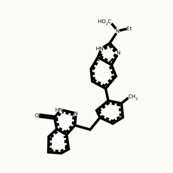 CCN(C(=O)O)c1nc2cc(-c3cc(Cc4n[nH]c(=O)c5ccccc45)ccc3C)ccc2[nH]1